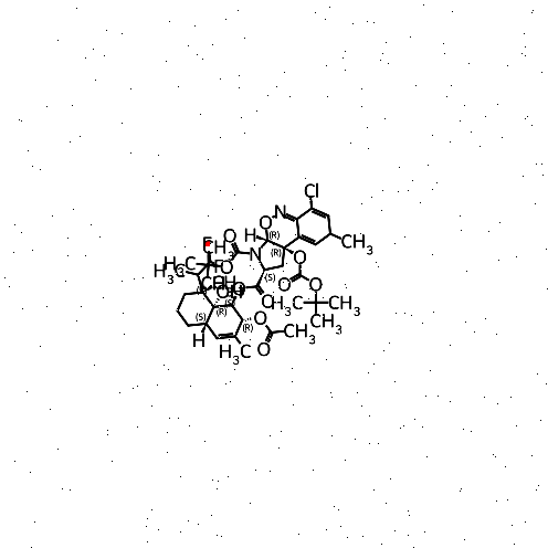 CC(=O)O[C@@H]1C(C)=C[C@@H]2CCC[C@](C)(C(C)C(F)F)[C@@]2(O)[C@H]1OC(=O)[C@@H]1C[C@@]2(OC(=O)OC(C)(C)C)C3=CC(C)C=C(Cl)C3=NO[C@H]2N1C(=O)OC(C)(C)C